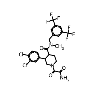 CN(Cc1cc(C(F)(F)F)cc(C(F)(F)F)c1)C(=O)C1CCN(C(=O)C(N)=O)CC1c1ccc(Cl)c(Cl)c1